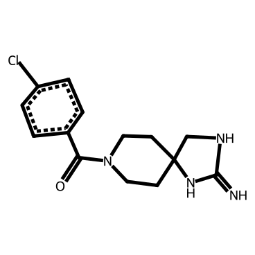 N=C1NCC2(CCN(C(=O)c3ccc(Cl)cc3)CC2)N1